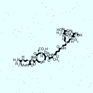 CNC(=O)[C@H](CCNC(N)N)NC(=O)[C@@H]1CSSC[C@H](NC(=O)[C@H](C)NC(=O)CCC(=O)NCCN(CCNC(C)(C)/C(C)=N\O)CCNC(C)(C)/C(C)=N\O)C(=O)N[C@@H](CC(=O)O)C(=O)N1